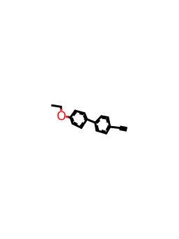 C#Cc1ccc(-c2ccc(OCC)cc2)cc1